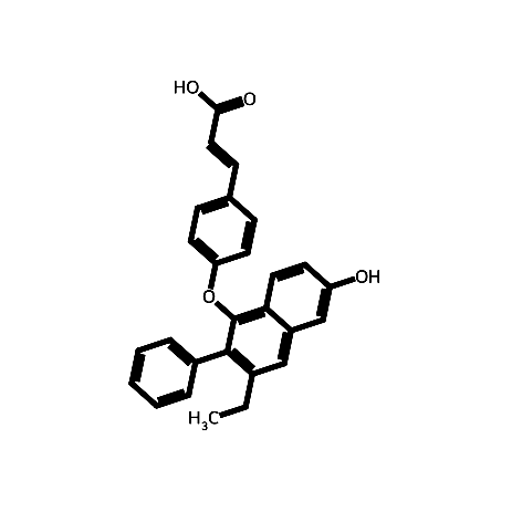 CCc1cc2cc(O)ccc2c(Oc2ccc(/C=C/C(=O)O)cc2)c1-c1ccccc1